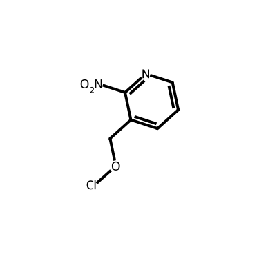 O=[N+]([O-])c1ncccc1COCl